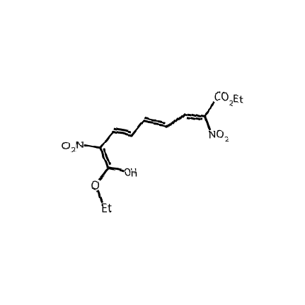 CCOC(=O)C(=CC=CC=C/C(=C(\O)OCC)[N+](=O)[O-])[N+](=O)[O-]